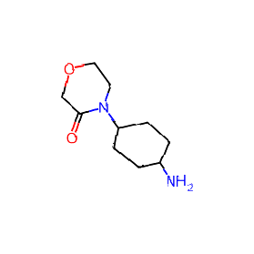 NC1CCC(N2CCOCC2=O)CC1